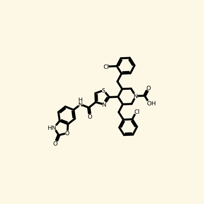 O=C(Nc1ccc2[nH]c(=O)oc2c1)c1csc(C2C(Cc3ccccc3Cl)CN(C(=O)O)CC2Cc2ccccc2Cl)n1